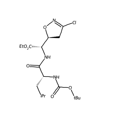 CCOC(=O)[C@@H](NC(=O)[C@@H](CC(C)C)NC(=O)OC(C)(C)C)[C@@H]1CC(Cl)=NO1